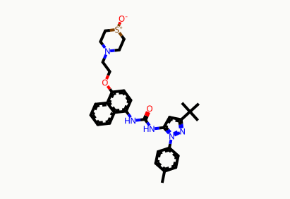 Cc1ccc(-n2nc(C(C)(C)C)cc2NC(=O)Nc2ccc(OCCN3CC[S+]([O-])CC3)c3ccccc23)cc1